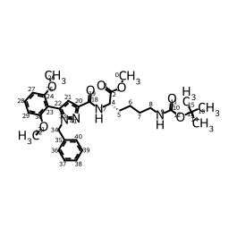 COC(=O)[C@H](CCCCNC(=O)OC(C)(C)C)NC(=O)c1cc(-c2c(OC)cccc2OC)n(Cc2ccccc2)n1